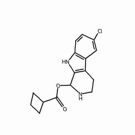 O=C(OC1NCCc2c1[nH]c1ccc(Cl)cc21)C1CCC1